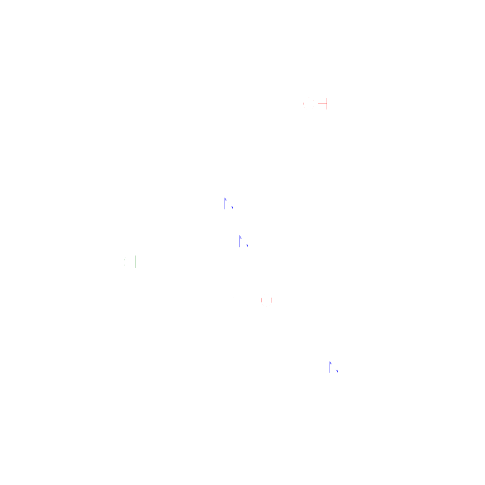 C[N+](C)(C)CCOc1ccccc1N=Nc1ccc(O)c2ccccc12.[Cl-]